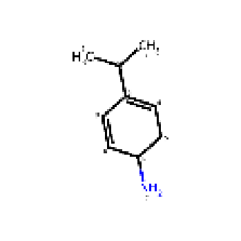 CC(C)C1=CCC(N)C=C1